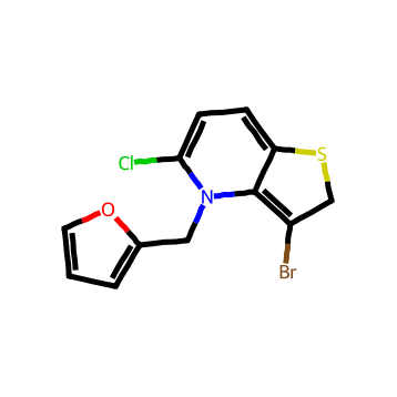 ClC1=CC=C2SCC(Br)=C2N1Cc1ccco1